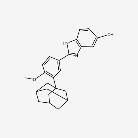 COc1ccc(-c2nc3cc(O)ccc3[nH]2)cc1C12CC3CC(CC(C3)C1)C2